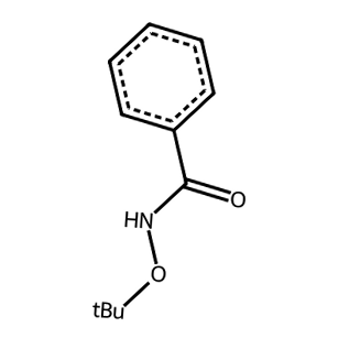 CC(C)(C)ONC(=O)c1ccccc1